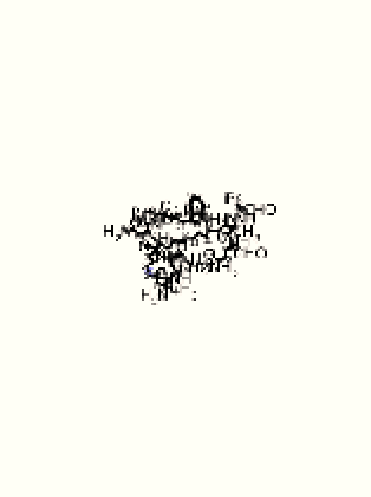 CC(C)C[C@@H](C=O)NN[C@@](C)(CCCCCCC=CCCC[C@](N)(CC/C=C\CC[C@](C)(N)C(=O)N[C@H](C=O)CCC(N)=O)C(=O)N[C@@H](CC(N)=O)C(=O)N[C@@H](CC(C)C)C(=O)N[C@H](C=O)Cc1c[nH]c2ccccc12)C(=O)N[C@H](C=O)CCC(N)=O